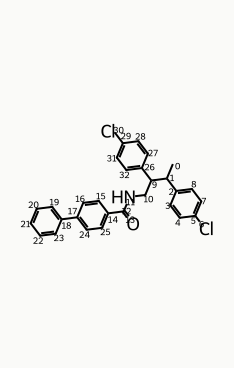 CC(c1ccc(Cl)cc1)C(CNC(=O)c1ccc(-c2ccccc2)cc1)c1ccc(Cl)cc1